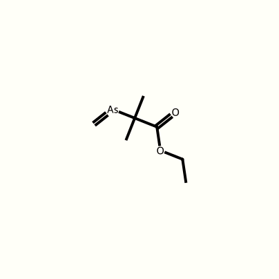 C=[As]C(C)(C)C(=O)OCC